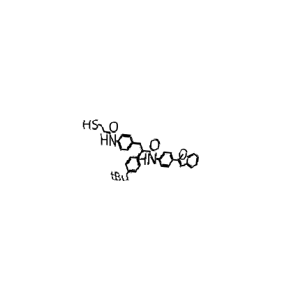 CC(C)(C)c1ccc(C(Cc2ccc(NC(=O)CCS)cc2)C(=O)Nc2ccc(-c3cc4ccccc4o3)cc2)cc1